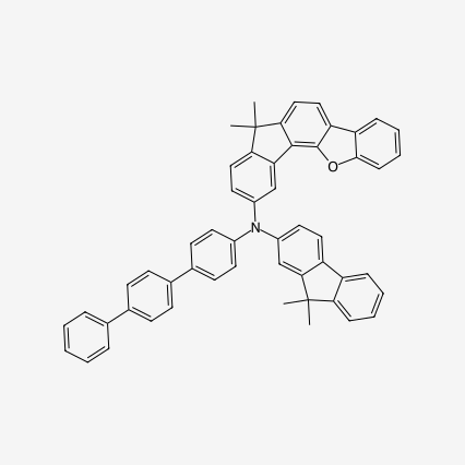 CC1(C)c2ccccc2-c2ccc(N(c3ccc(-c4ccc(-c5ccccc5)cc4)cc3)c3ccc4c(c3)-c3c(ccc5c3oc3ccccc35)C4(C)C)cc21